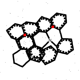 c1ccc(-c2ccccc2N(c2ccccc2-c2cccc3cccc(C4CCCCC4)c23)c2ccccc2-c2cccc3oc4ccccc4c23)cc1